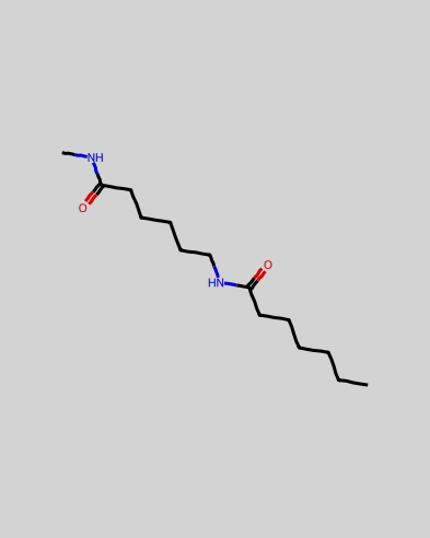 CCCCCCC(=O)NCCCCCC(=O)NC